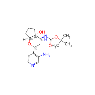 CC(C)(C)OC(=O)N[C@H]1C[C@@H](c2ccncc2N)O[C@H]2CCC[C@@]12O